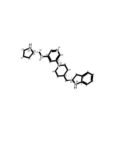 c1ccc2c(c1)C[C@H](CC1CCN(c3cncc(OC[C@@H]4CCCN4)c3)CC1)N2